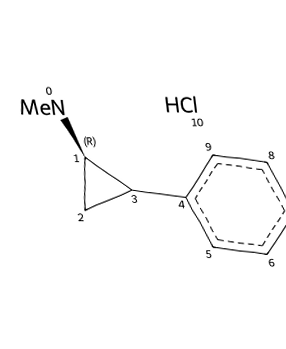 CN[C@@H]1CC1c1ccccc1.Cl